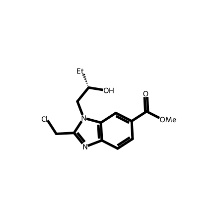 CC[C@H](O)Cn1c(CCl)nc2ccc(C(=O)OC)cc21